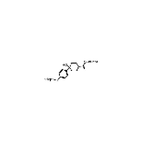 CCCCCCCOC(=O)C1CCC(O)(c2ccc(OCCCCCCC)cc2)CC1